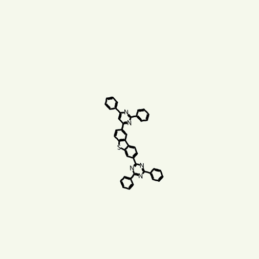 c1ccc(-c2cc(-c3ccc4sc5cc(-c6nc(-c7ccccc7)nc(-c7ccccc7)n6)ccc5c4c3)nc(-c3ccccc3)n2)cc1